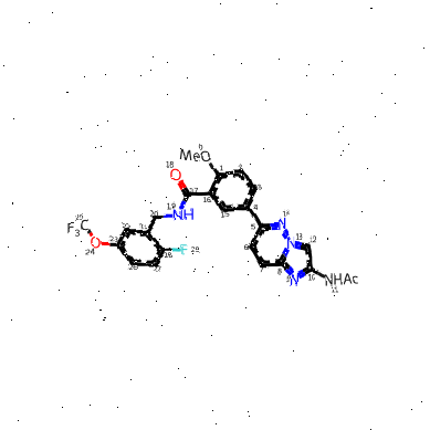 COc1ccc(-c2ccc3nc(NC(C)=O)cn3n2)cc1C(=O)NCc1cc(OC(F)(F)F)ccc1F